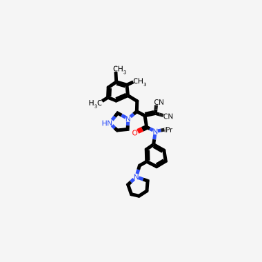 Cc1cc(C)c(C)c(CC(C(C(=O)N(c2cccc(CN3CCCCC3)c2)C(C)C)=C(C#N)C#N)N2CCNC2)c1